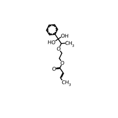 CC=CC(=O)OCCOC(C)C(O)(O)c1ccccc1